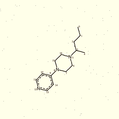 CCCC(C)N1CCN(c2ccncc2)CC1